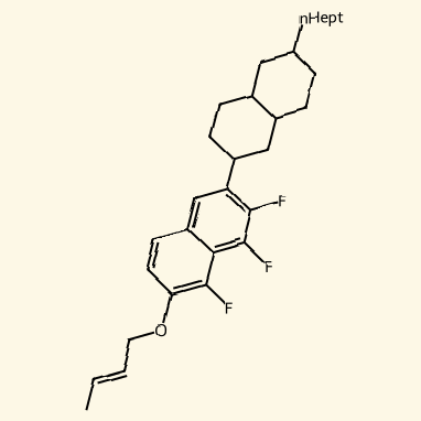 CC=CCOc1ccc2cc(C3CCC4CC(CCCCCCC)CCC4C3)c(F)c(F)c2c1F